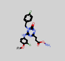 CC(C)Oc1ccc(Nc2nc(CCC(=O)ON)nc(=O)n2Cc2ccc(Cl)cc2)cc1Cl